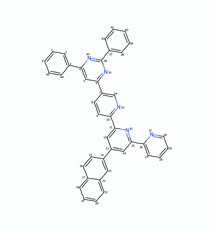 c1ccc(-c2cc(-c3ccc(-c4cc(-c5ccc6ccccc6c5)cc(-c5ccccn5)n4)nc3)nc(-c3ccccc3)n2)cc1